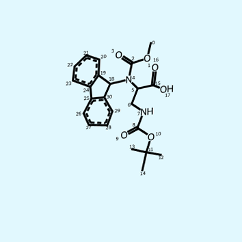 COC(=O)N(C(CNC(=O)OC(C)(C)C)C(=O)O)C1c2ccccc2-c2ccccc21